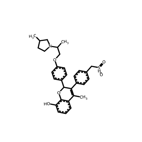 CC1=C(c2ccc(C[SH](=O)=O)cc2)C(c2ccc(OCC(C)N3CCC(C)C3)cc2)Oc2c(O)cccc21